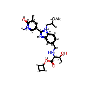 COC(C)Cn1c(-c2cc(C)c(=O)n(C)c2)nc2cc(CNC(C(=O)OC3CCC3)C(C)O)ccc21